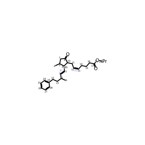 CC(/C=C/[C@H]1C(C)CC(=O)C1C/C=C\CCCC(=O)OC(C)C)CCc1ccccc1